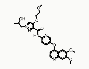 COCCOc1cn(CC(C)O)nc1C(=O)Nc1ccc(Oc2ccnc3cc(OC)c(OC)cc23)cn1